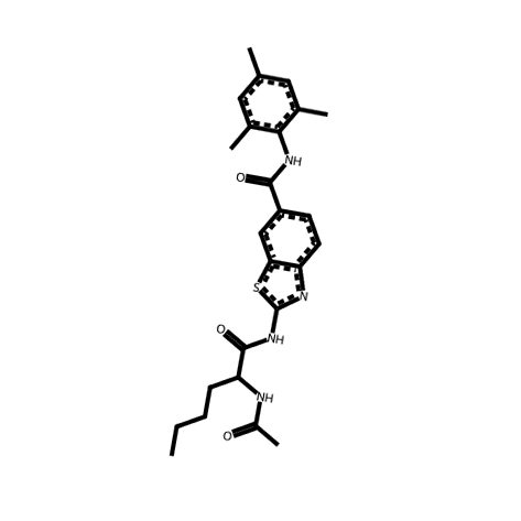 CCCCC(NC(C)=O)C(=O)Nc1nc2ccc(C(=O)Nc3c(C)cc(C)cc3C)cc2s1